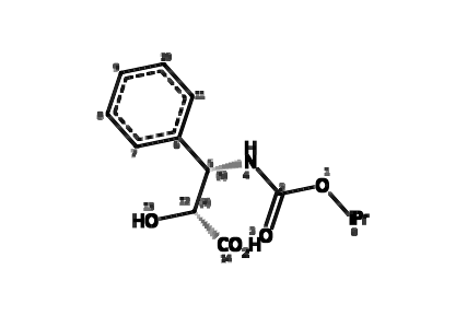 CC(C)OC(=O)N[C@@H](c1ccccc1)[C@@H](O)C(=O)O